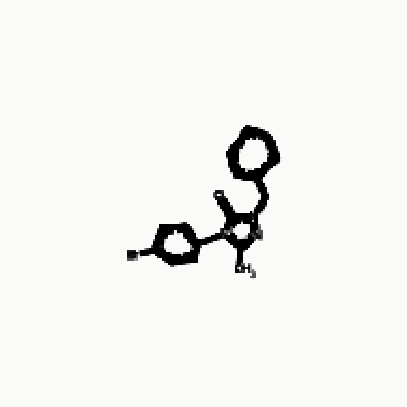 Cc1nn(Cc2ccccc2)c(=O)n1-c1ccc(Br)cc1